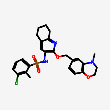 Cc1c(Cl)cccc1S(=O)(=O)Nc1cc2c(nc1OCc1ccc3c(c1)N(C)CCO3)CCCC2